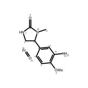 COc1ccc(C2CNC(=O)N2C)cc1N.[O]=[Pt]